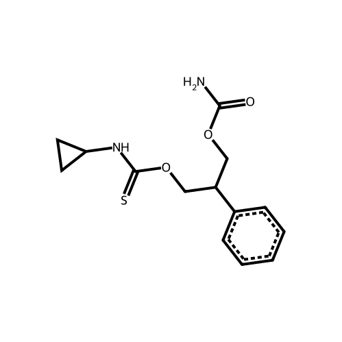 NC(=O)OCC(COC(=S)NC1CC1)c1ccccc1